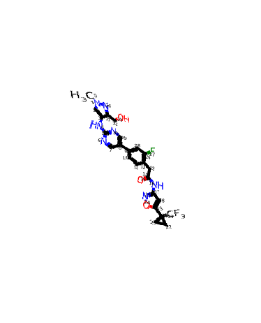 Cn1cc(Nc2ncc(-c3ccc(CC(=O)Nc4cc(C5(C(F)(F)F)CC5)on4)c(F)c3)cn2)c(CO)n1